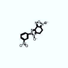 O=[N+]([O-])c1cccc(-n2nc3c([n+]2[O-])CCc2c-3no[n+]2[O-])c1